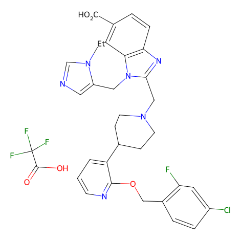 CCn1cncc1Cn1c(CN2CCC(c3cccnc3OCc3ccc(Cl)cc3F)CC2)nc2ccc(C(=O)O)cc21.O=C(O)C(F)(F)F